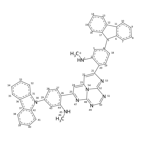 CNc1cc(C2c3ccccc3-c3ccccc32)ccc1C1=CC2=CC(c3ccc(-n4c5ccccc5c5ccccc54)cc3NC)=NC3=NC=NC(=N1)N23